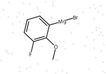 COc1c(F)ccc[c]1[Mg][Br]